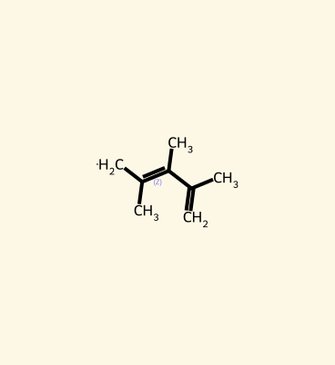 [CH2]/C(C)=C(\C)C(=C)C